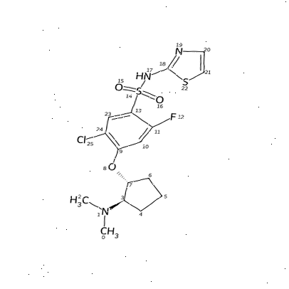 CN(C)[C@@H]1CCC[C@H]1Oc1cc(F)c(S(=O)(=O)Nc2nccs2)cc1Cl